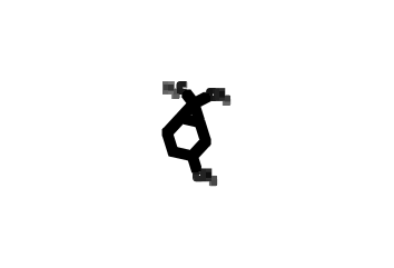 CC1CCC2C(C1)C2(C)C